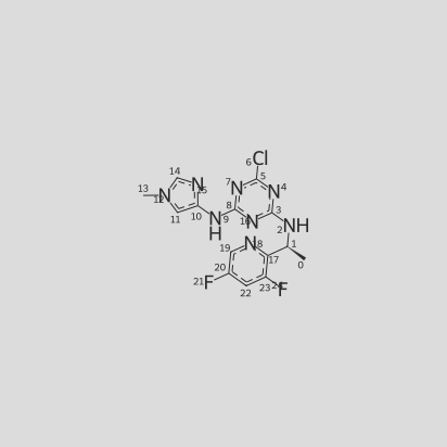 C[C@H](Nc1nc(Cl)nc(Nc2cn(C)cn2)n1)c1ncc(F)cc1F